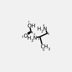 CC(N)CN.O=CO